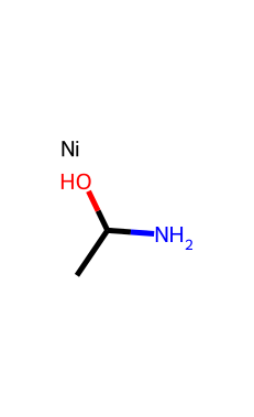 CC(N)O.[Ni]